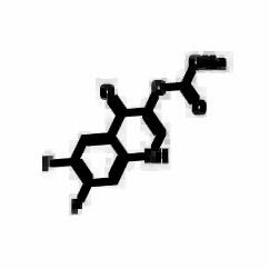 COC(=O)Oc1c[nH]c2cc(F)c(F)cc2c1=O